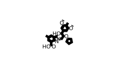 COc1cc(C(O)C(Cn2cc3cc(C)cc(C(=O)O)c3n2)OC2CCCC2)cc(OC)c1C